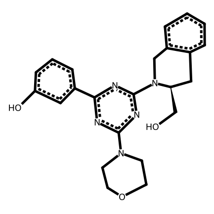 OC[C@@H]1Cc2ccccc2CN1c1nc(-c2cccc(O)c2)nc(N2CCOCC2)n1